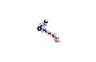 Cc1nc(NC(=O)C2CCCCC2NC(=O)CCOCCOCCNC(=O)OC(C)(C)C)sc1C